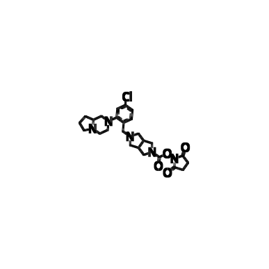 O=C(ON1C(=O)CCC1=O)N1CC2CN(Cc3ccc(Cl)cc3N3CCN4CCCC4C3)CC2C1